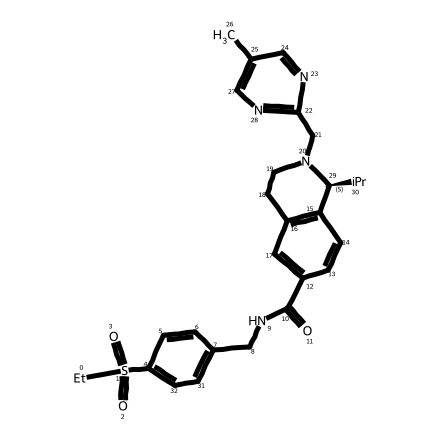 CCS(=O)(=O)c1ccc(CNC(=O)c2ccc3c(c2)CCN(Cc2ncc(C)cn2)[C@H]3C(C)C)cc1